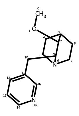 COC1C2CCN(CC2)C1Cc1cccnc1